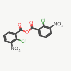 O=C(OC(=O)c1cccc([N+](=O)[O-])c1Cl)c1cccc([N+](=O)[O-])c1Cl